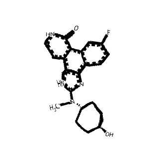 CN(c1nc2c3ccc(F)cc3c3c(=O)[nH]ccc3c2[nH]1)[C@H]1CC[C@H](O)CC1